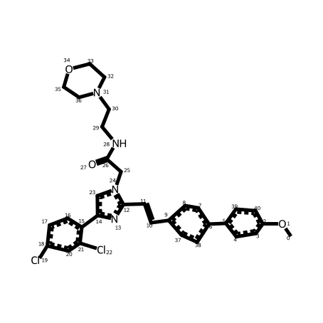 COc1ccc(-c2ccc(/C=C/c3nc(-c4ccc(Cl)cc4Cl)cn3CC(=O)NCCN3CCOCC3)cc2)cc1